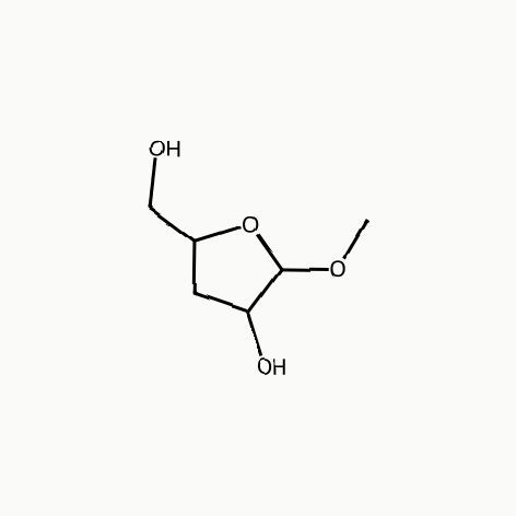 COC1OC(CO)CC1O